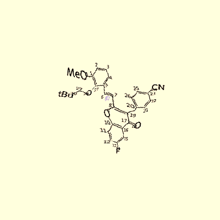 COc1cccc(/C=C/c2oc3ccc(F)cc3c(=O)c2-c2ccc(C#N)cc2)c1OCC(C)(C)C